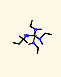 CC[N](C)[Ta]([NH]C(C)(C)CC)([N](C)CC)[N](C)CC